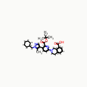 Cc1c(-c2ccc(N3CCc4cccc(C(=O)O)c4C3)nc2C(=O)OC(C)(C)C)cnn1CC1CCCCC1